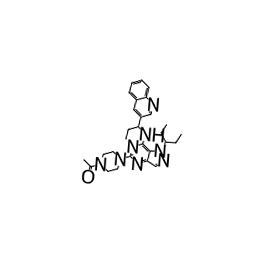 CCC(Nc1nc(N2CCN(C(C)=O)CC2)nc2cnn(C(CC)CC)c12)c1cnc2ccccc2c1